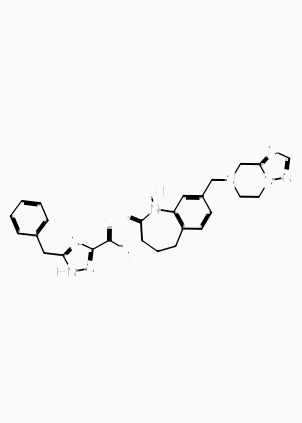 CN1C(=O)[C@@H](NC(=O)c2n[nH]c(Cc3ccccc3)n2)CCc2ccc(CN3CCn4ncnc4C3)cc21